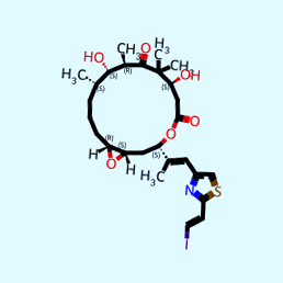 CC(=Cc1csc(C=CI)n1)[C@@H]1C[C@@H]2O[C@@H]2CCC[C@H](C)[C@H](O)[C@@H](C)C(=O)C(C)(C)[C@@H](O)CC(=O)O1